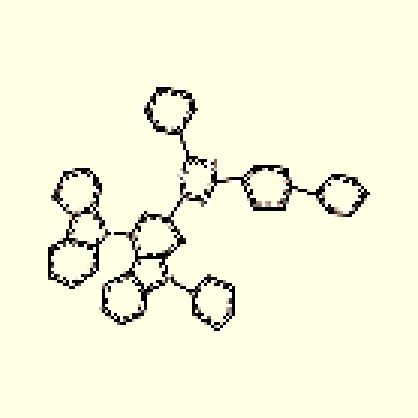 c1ccc(-c2ccc(-c3nc(-c4ccccc4)nc(-c4cc(-n5c6ccccc6c6ccccc65)c5c6ccccc6n(-c6ccccc6)c5c4)n3)cc2)cc1